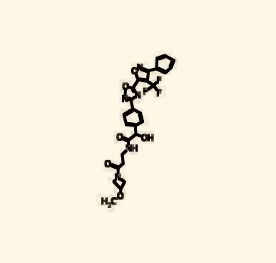 COC1CN(C(=O)CCNC(=O)C(O)c2ccc(-c3noc(-c4onc(-c5ccccc5)c4C(F)(F)F)n3)cc2)C1